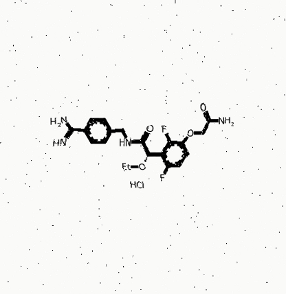 CCO[C@H](C(=O)NCc1ccc(C(=N)N)cc1)c1c(F)ccc(OCC(N)=O)c1F.Cl